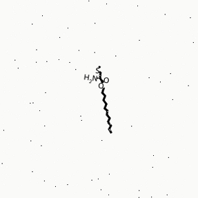 CCCCCCCCCCCCCOC(=O)[C@@H](N)CSC